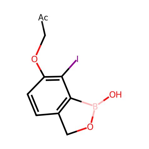 CC(=O)COc1ccc2c(c1I)B(O)OC2